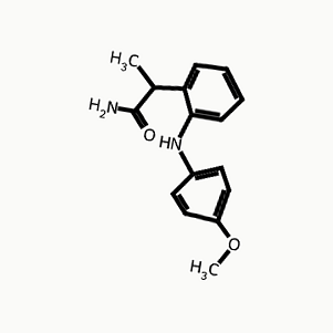 COc1ccc(Nc2ccccc2C(C)C(N)=O)cc1